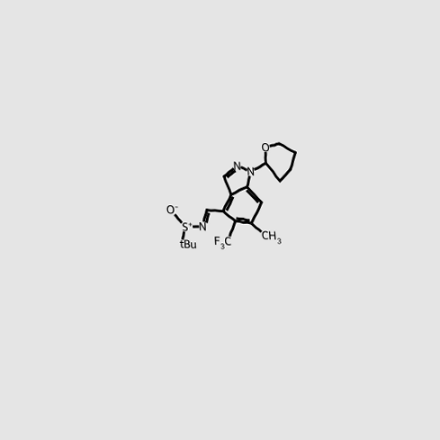 Cc1cc2c(cnn2C2CCCCO2)c(/C=N/[S+]([O-])C(C)(C)C)c1C(F)(F)F